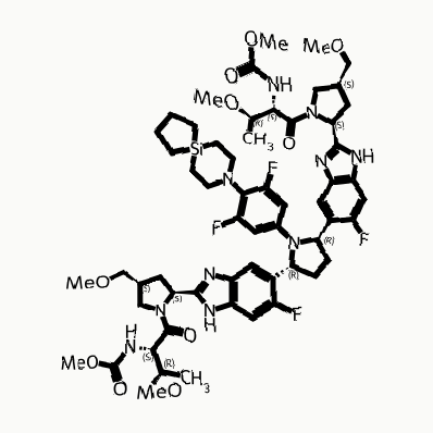 COC[C@H]1C[C@@H](c2nc3cc([C@H]4CC[C@H](c5cc6nc([C@@H]7C[C@H](COC)CN7C(=O)[C@@H](NC(=O)OC)[C@@H](C)OC)[nH]c6cc5F)N4c4cc(F)c(N5CC[Si]6(CCCC6)CC5)c(F)c4)c(F)cc3[nH]2)N(C(=O)[C@@H](NC(=O)OC)[C@@H](C)OC)C1